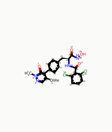 COc1cnn(C)c(=O)c1-c1ccc(C[C@H](NC(=O)c2c(Cl)cccc2Cl)C(=O)NO)cc1